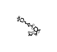 COC1C(OC(=O)N2CC(CCN3CCN(S(C)(=O)=O)CC3)C2)CCC2(CO2)C1[C@@]1(C)O[C@@H]1CC=C(C)C